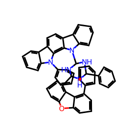 c1ccc(-c2cccc3oc4cccc(C5NC(c6ccccc6)NC(n6c7ccccc7c7ccc8c9ccccc9n(-c9ccccc9)c8c76)N5)c4c23)cc1